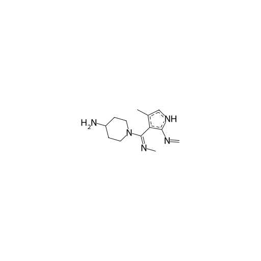 C=Nc1[nH]cc(C)c1/C(=N\C)N1CCC(N)CC1